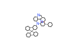 c1ccc(-c2ccc(N(c3ccc4c(c3)-c3ccccc3C43c4ccccc4-c4ccccc43)c3cccc4ncc5cccnc5c34)cc2)cc1